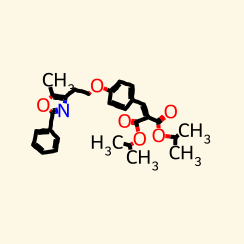 Cc1oc(-c2ccccc2)nc1CCOc1ccc(C=C(C(=O)OC(C)C)C(=O)OC(C)C)cc1